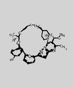 Cc1nc2cc3nn2c(c1[C@H](OC(C)(C)C)C(=O)O)N1CCC(C)(CC1)OCC=CC[C@H](C)Oc1ccc(C#N)cc1-c1cccc-3c1